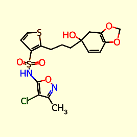 Cc1noc(NS(=O)(=O)c2ccsc2CCCC2(O)C=CC3=C(C2)OCO3)c1Cl